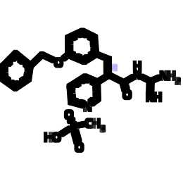 CS(=O)(=O)O.N=C(N)NC(=O)/C(=C/c1cccc(OCc2ccccc2)c1)c1cccnc1